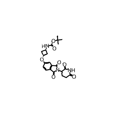 CC(C)(C)OC(=O)N[C@H]1C[C@H](Oc2ccc3c(c2)C(=O)N(C2CCC(=O)NC2=O)C3=O)C1